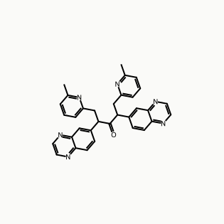 Cc1cccc(CC(C(=O)C(Cc2cccc(C)n2)c2ccc3nccnc3c2)c2ccc3nccnc3c2)n1